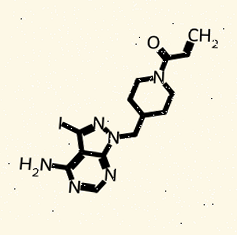 C=CC(=O)N1CCC(Cn2nc(I)c3c(N)ncnc32)CC1